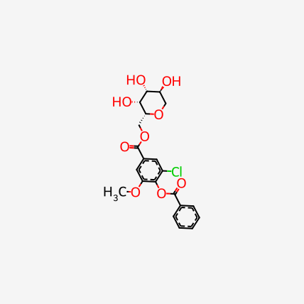 COc1cc(C(=O)OC[C@H]2OC[C@H](O)[C@@H](O)[C@H]2O)cc(Cl)c1OC(=O)c1ccccc1